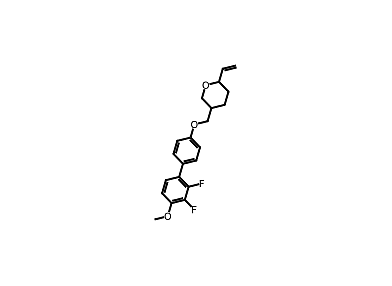 C=CC1CCC(COc2ccc(-c3ccc(OC)c(F)c3F)cc2)CO1